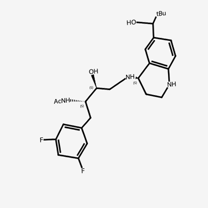 CC(=O)N[C@@H](Cc1cc(F)cc(F)c1)[C@@H](O)CN[C@H]1CCNc2ccc(C(O)C(C)(C)C)cc21